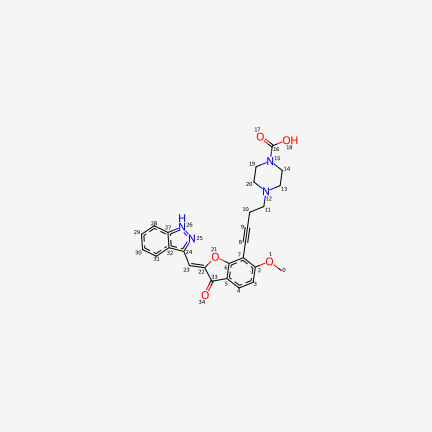 COc1ccc2c(c1C#CCCN1CCN(C(=O)O)CC1)OC(=Cc1n[nH]c3ccccc13)C2=O